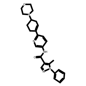 Cc1c(C(=O)Nc2ccc(C3=CCC(N4CCOCC4)CC3)nc2)cnn1-c1ccccc1